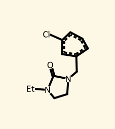 CCN1CCN(Cc2cccc(Cl)c2)C1=O